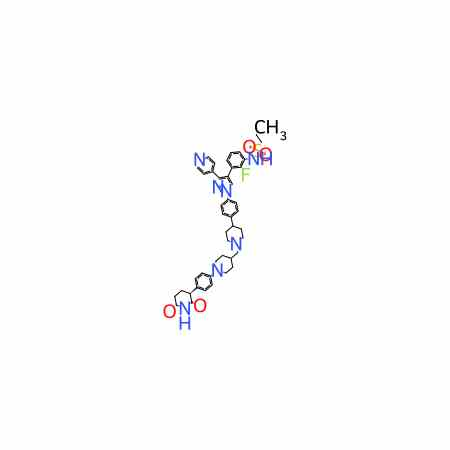 CCCS(=O)(=O)Nc1cccc(-c2cn(-c3ccc(C4CCN(CC5CCN(c6ccc([C@@H]7CCC(=O)NC7=O)cc6)CC5)CC4)cc3)nc2-c2ccncc2)c1F